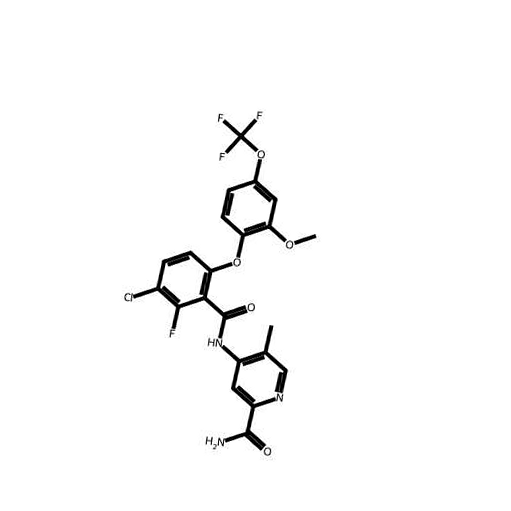 COc1cc(OC(F)(F)F)ccc1Oc1ccc(Cl)c(F)c1C(=O)Nc1cc(C(N)=O)ncc1C